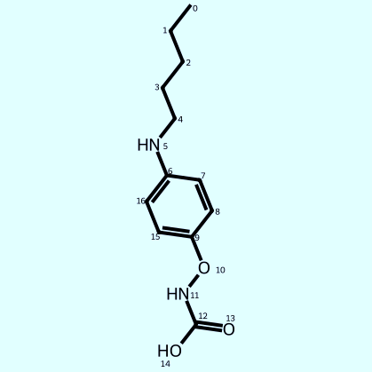 CCCCCNc1ccc(ONC(=O)O)cc1